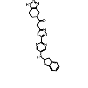 O=C(Cc1nnc(-c2ncc(NC3Cc4ccccc4C3)cn2)o1)N1CCc2[nH]nnc2C1